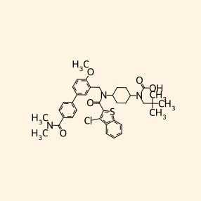 COc1ccc(-c2ccc(C(=O)N(C)C)cc2)cc1CN(C(=O)c1sc2ccccc2c1Cl)C1CCC(N(CC(C)(C)C)C(=O)O)CC1